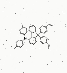 C=Cc1ccc(C2(c3ccc(C=C)cc3)c3ccccc3-c3c(N(c4ccc(C)cc4)c4ccc(C)cc4)cccc32)cc1